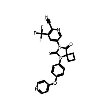 N#Cc1ncc(N2C(=O)C3(CCC3)N(c3ccc(Oc4ccncc4)cc3)C2=S)cc1C(F)(F)F